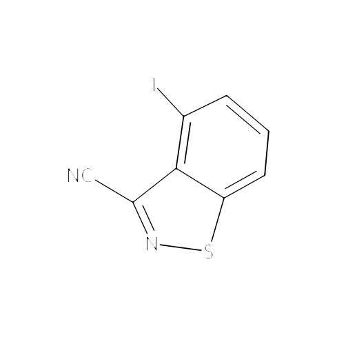 N#Cc1nsc2cccc(I)c12